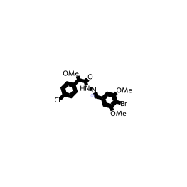 COc1cc(/C=N/NC(=O)C(OC)c2ccc(Cl)cc2)cc(OC)c1Br